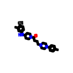 Cc1ccc(N2CCN(CCCC(=O)N3CCC(Nc4ccc(C#N)c(C)c4)CC3)CC2)cc1